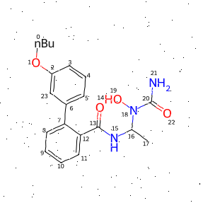 CCCCOc1cccc(-c2ccccc2C(=O)NC(C)N(O)C(N)=O)c1